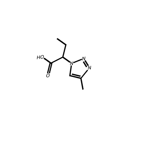 CCC(C(=O)O)n1cc(C)nn1